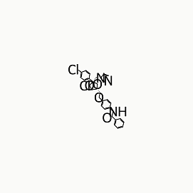 O=C(Nc1ccc(OC[C@@H]2CO[C@@](Cn3ccnc3)(c3ccc(Cl)cc3Cl)O2)cc1)c1ccccc1